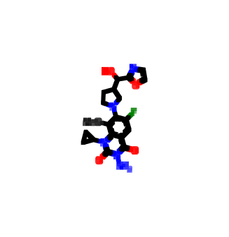 COc1c(N2CCC(C(O)c3ncco3)C2)c(F)cc2c(=O)n(N)c(=O)n(C3CC3)c12